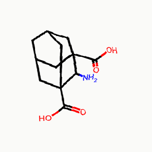 NC1C2(C(=O)O)CC3CC(C2)CC1(C(=O)O)C3